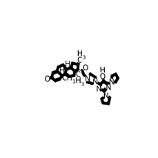 CC1C[C@H]2[C@@H]3CCC4=CC(=O)C=C[C@]4(C)C3=CC[C@]2(C)[C@H]1C(=O)CN1CCN(c2nc(N3CCCC3)nc(N3CCCC3)c2O)CC1